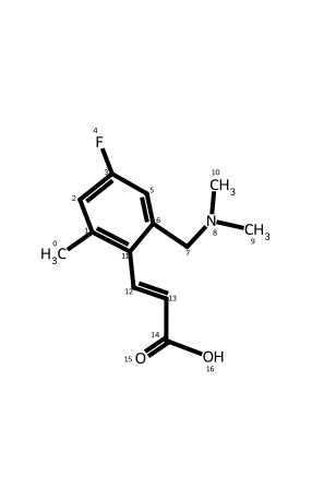 Cc1cc(F)cc(CN(C)C)c1C=CC(=O)O